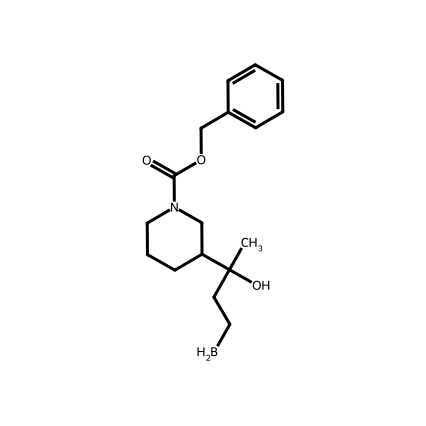 BCCC(C)(O)C1CCCN(C(=O)OCc2ccccc2)C1